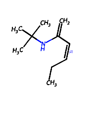 C=C(/C=C\CC)NC(C)(C)C